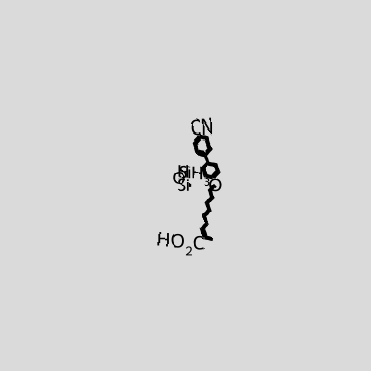 CC(=CCCCCCCOc1ccc(-c2ccc(C#N)cc2)cc1)C(=O)O.C[SiH](C)O[SiH3]